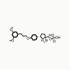 COc1cc(CCCOc2ccc([C@@H]3CC[C@@](N)(COP(=O)(O)O)C3)cc2)cc(OC)c1